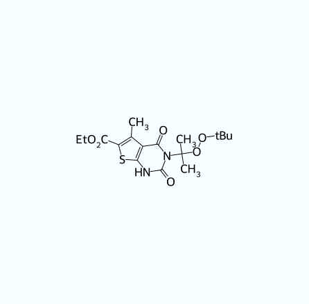 CCOC(=O)c1sc2[nH]c(=O)n(C(C)(C)OOC(C)(C)C)c(=O)c2c1C